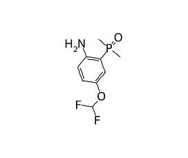 CP(C)(=O)c1cc(OC(F)F)ccc1N